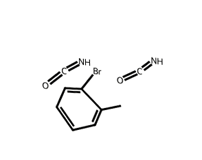 Cc1ccccc1Br.N=C=O.N=C=O